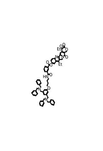 CCc1c2c(nc3ccc(OC(=O)c4cccc(C(=O)NCCCCOc5cc(CN(Cc6ccccc6)Cc6ccccc6)cc(CN(Cc6ccccc6)Cc6ccccc6)c5)c4)cc13)-c1cc3c(c(=O)n1C2)COC(=O)[C@@]3(O)CC